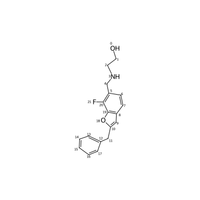 OCCNCc1ccc2cc(Cc3ccccc3)oc2c1F